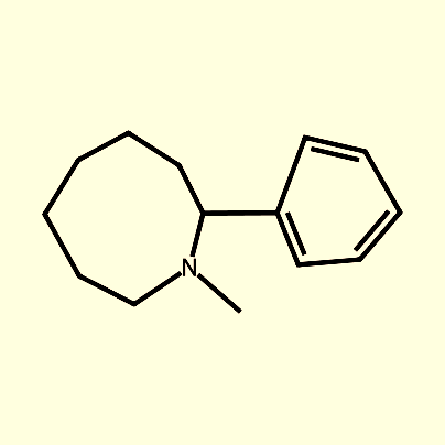 CN1CCCCCCC1c1ccccc1